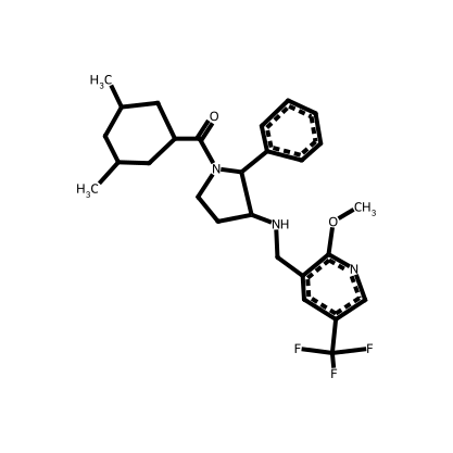 COc1ncc(C(F)(F)F)cc1CNC1CCN(C(=O)C2CC(C)CC(C)C2)C1c1ccccc1